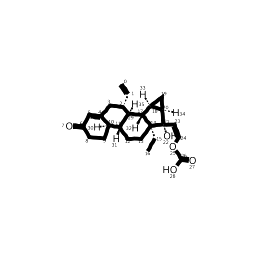 C=C[C@H]1CC2=CC(=O)CC[C@@H]2[C@H]2CC[C@@]3(CC)[C@@H]([C@H]4C[C@H]4[C@@]3(O)/C=C\OC(=O)O)[C@@H]21